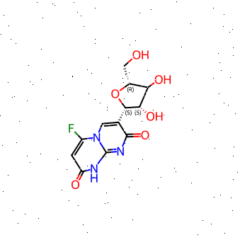 O=c1cc(F)n2cc([C@@H]3O[C@H](CO)C(O)[C@@H]3O)c(=O)nc2[nH]1